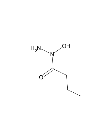 CCCC(=O)N(N)O